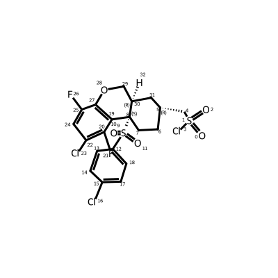 O=S(=O)(Cl)C[C@@H]1CC[C@@]2(S(=O)(=O)c3ccc(Cl)cc3)c3c(F)c(Cl)cc(F)c3OC[C@H]2C1